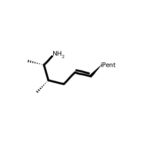 CCC[C@H](C)/C=C/C[C@H](C)[C@H](C)N